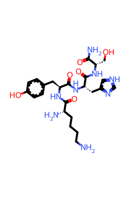 NCCCC[C@H](N)C(=O)N[C@@H](Cc1ccc(O)cc1)C(=O)N[C@@H](Cc1c[nH]cn1)C(=O)N[C@@H](CO)C(N)=O